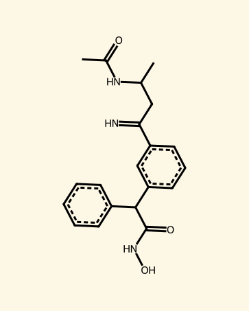 CC(=O)NC(C)CC(=N)c1cccc(C(C(=O)NO)c2ccccc2)c1